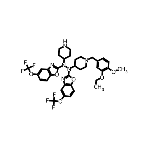 CCOc1cc(CN2CCC(N(c3nc4cc(OC(F)(F)F)ccc4o3)N(c3nc4cc(OC(F)(F)F)ccc4o3)C3CCNCC3)CC2)ccc1OC